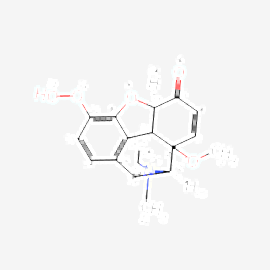 COC12C=CC(=O)[C@@H]3Oc4c(OO)ccc5c4[C@@]31CCN(C)[C@@H]2C5